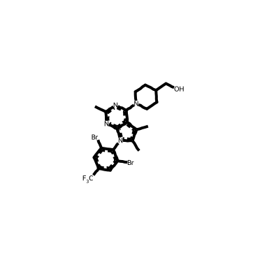 Cc1nc(N2CCC(CO)CC2)c2c(C)c(C)n(-c3c(Br)cc(C(F)(F)F)cc3Br)c2n1